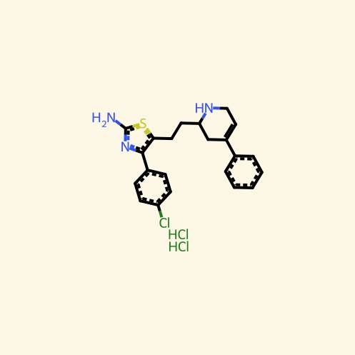 Cl.Cl.Nc1nc(-c2ccc(Cl)cc2)c(CCC2CC(c3ccccc3)=CCN2)s1